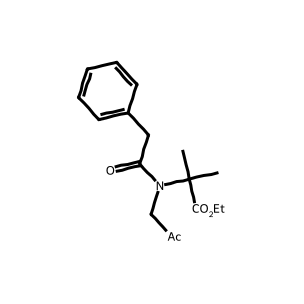 CCOC(=O)C(C)(C)N(CC(C)=O)C(=O)Cc1ccccc1